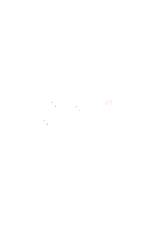 OCCNCc1ccnc(Cl)n1